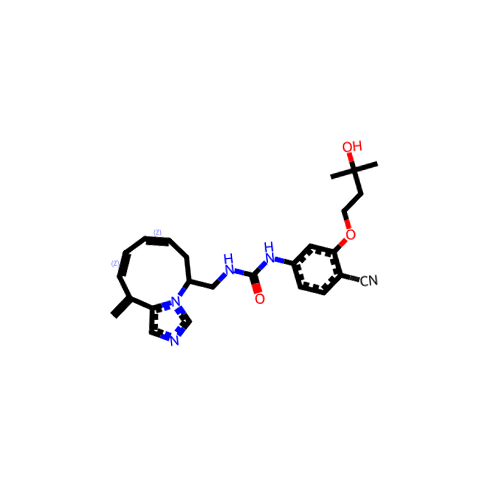 C=C1/C=C\C=C/CC(CNC(=O)Nc2ccc(C#N)c(OCCC(C)(C)O)c2)n2cncc21